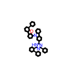 c1ccc(C2=NC(c3ccc4c5ccccc5n(-c5cccc6c5oc5c(-c7ccccc7)cccc56)c4c3)NC(c3ccccc3-c3ccccc3)=N2)cc1